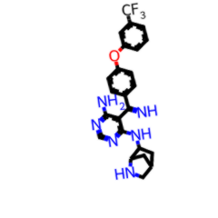 N=C(c1ccc(Oc2cccc(C(F)(F)F)c2)cc1)c1c(N)ncnc1NC1CC2CNC1C2